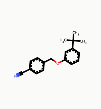 CC(C)(C)c1cccc(OCc2ccc(C#N)cc2)c1